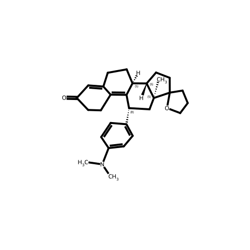 CN(C)c1ccc([C@H]2C[C@@]3(C)[C@@H](CCC34CCCO4)[C@@H]3CCC4=CC(=O)CCC4=C32)cc1